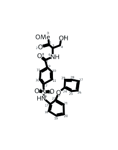 COC(=O)C(CO)NC(=O)c1ccc(S(=O)(=O)Nc2ccccc2Oc2ccccc2)cc1